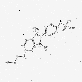 CCCCS(=O)(=O)Nc1ccc(-c2c(N)c3ccc(OCCF)cc3n2CC)cc1